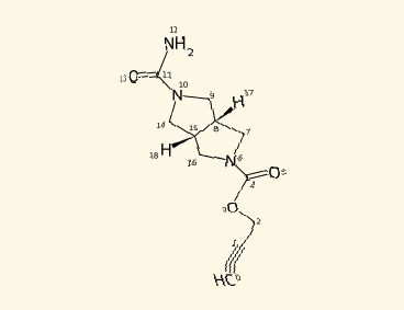 C#CCOC(=O)N1C[C@H]2CN(C(N)=O)C[C@H]2C1